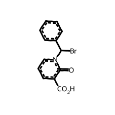 O=C(O)c1cccn(C(Br)c2ccccc2)c1=O